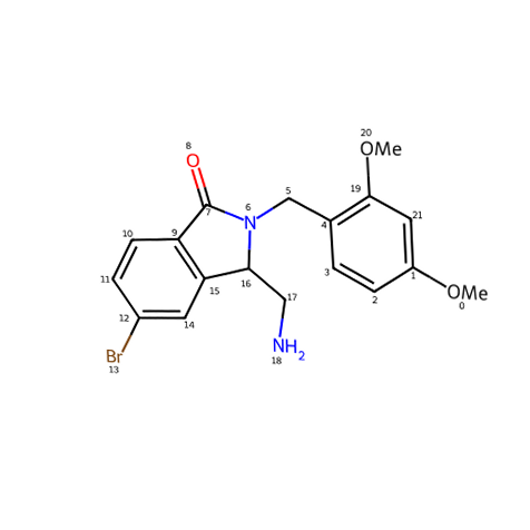 COc1ccc(CN2C(=O)c3ccc(Br)cc3C2CN)c(OC)c1